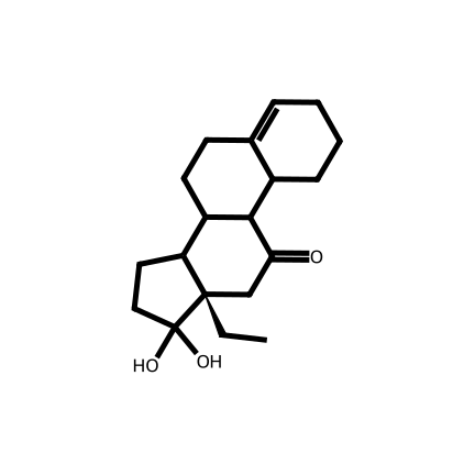 CC[C@]12CC(=O)C3C4CCCC=C4CCC3C1CCC2(O)O